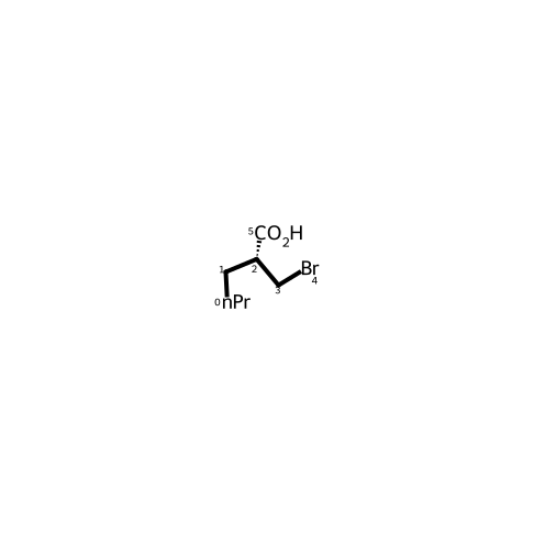 CCCC[C@@H](CBr)C(=O)O